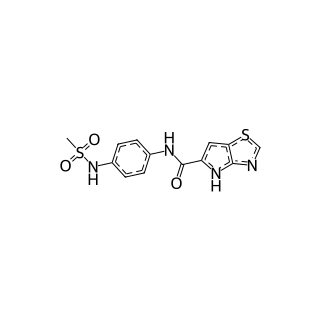 CS(=O)(=O)Nc1ccc(NC(=O)c2cc3scnc3[nH]2)cc1